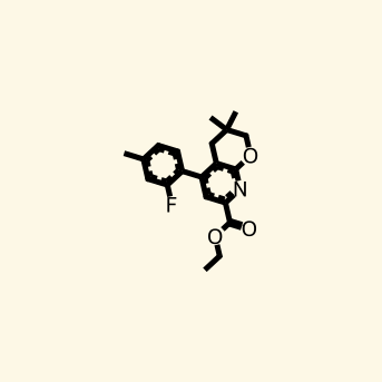 CCOC(=O)c1cc(-c2ccc(C)cc2F)c2c(n1)OCC(C)(C)C2